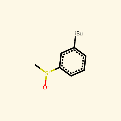 CCC(C)c1cccc([S+](C)[O-])c1